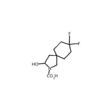 O=C(O)N1CC2(CCC(F)(F)CC2)CC1O